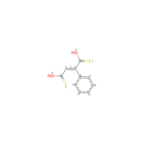 OC(=S)/C=C(/C(O)=S)c1ccccc1